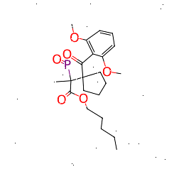 CCCCCOC(=O)C(C)(P=O)C1(C(=O)c2c(OC)cccc2OC)CCCC1